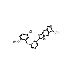 CC(C)COc1ccc(Cl)cc1Cc1cccc(-c2nc3cc4cnn(C)c4cc3[nH]2)n1